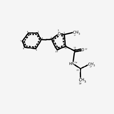 Cc1oc(-c2ccccc2)cc1C(=O)NC(C)C